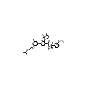 Cc1cc(-c2ccc(C(=O)NS(=O)(=O)c3cccc(N)n3)c(N3CCC(C)C3(C)C)n2)cc(OCCOC(C)C)n1